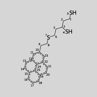 SCCC(S)CCSCCc1cc2ccc3cccc4ccc(c1)c2c34